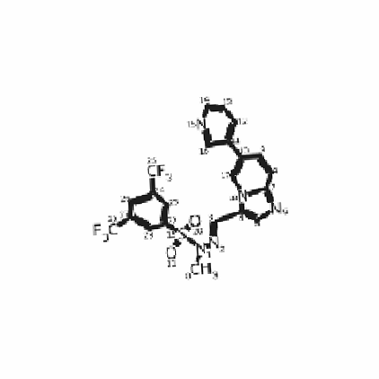 CN(N=Cc1cnc2ccc(-c3cccnc3)cn12)S(=O)(=O)c1cc(C(F)(F)F)cc(C(F)(F)F)c1